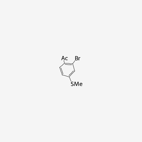 CSc1ccc(C(C)=O)c(Br)c1